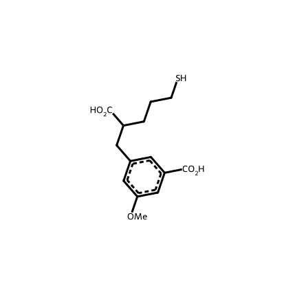 COc1cc(CC(CCCS)C(=O)O)cc(C(=O)O)c1